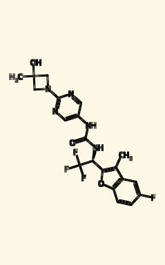 Cc1c([C@H](NC(=O)Nc2cnc(N3CC(C)(O)C3)nc2)C(F)(F)F)oc2ccc(F)cc12